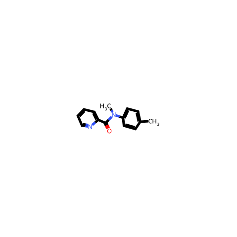 Cc1ccc(N(C)C(=O)c2ccccn2)cc1